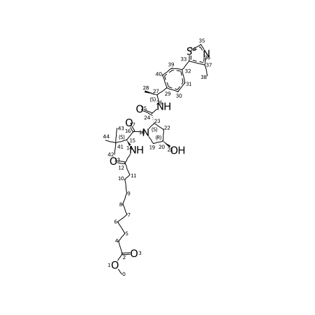 COC(=O)CCCCCCCCC(=O)N[C@H](C(=O)N1C[C@H](O)C[C@H]1C(=O)N[C@@H](C)c1ccc(-c2scnc2C)cc1)C(C)(C)C